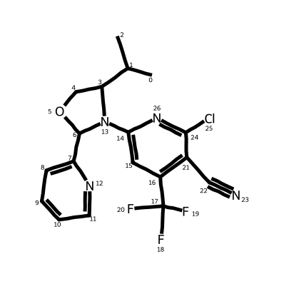 CC(C)C1COC(c2ccccn2)N1c1cc(C(F)(F)F)c(C#N)c(Cl)n1